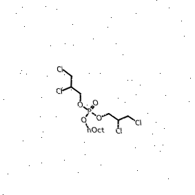 CCCCCCCCOP(=O)(OCC(Cl)CCl)OCC(Cl)CCl